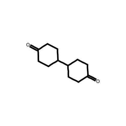 O=C1CCC(C2CCC(=O)CC2)CC1